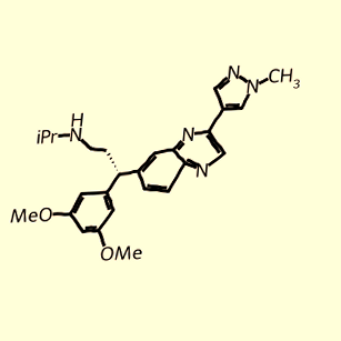 COc1cc(OC)cc([C@H](CCNC(C)C)c2ccc3ncc(-c4cnn(C)c4)nc3c2)c1